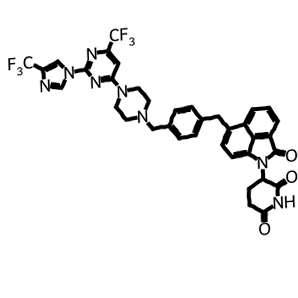 O=C1CCC(N2C(=O)c3cccc4c(Cc5ccc(CN6CCN(c7cc(C(F)(F)F)nc(-n8cnc(C(F)(F)F)c8)n7)CC6)cc5)ccc2c34)C(=O)N1